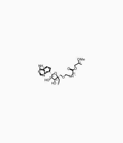 CO[C@@H](C)COC(=O)[C@H](C)NCOC[C@@]1(CF)O[C@@H](c2ccc3c(N)ncnn23)[C@H](O)[C@@H]1O